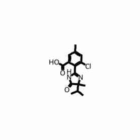 Cc1cc(Cl)c(C2=NC(C)(C(C)C)C(=O)N2)c(C(=O)O)c1